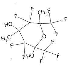 CC1(O)C(F)(F)C(C)(C(F)(F)F)OC(O)(C(F)(F)F)C1(F)F